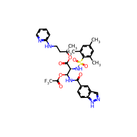 Cc1cc(C)c(S(=O)(=O)N[C@H](C(=O)O[C@@H](C)CCNc2ccccn2)C(NC(=O)c2ccc3[nH]ncc3c2)OC(=O)C(F)(F)F)c(C)c1